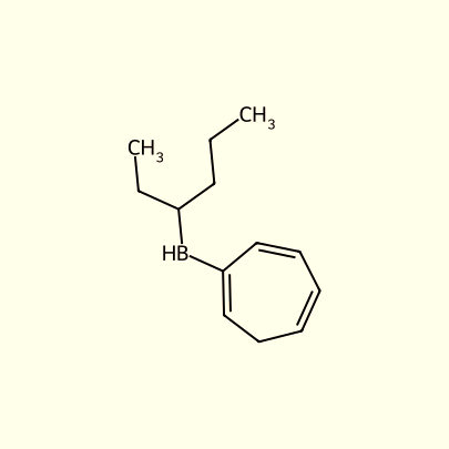 CCCC(BC1=CCC=CC=C1)CC